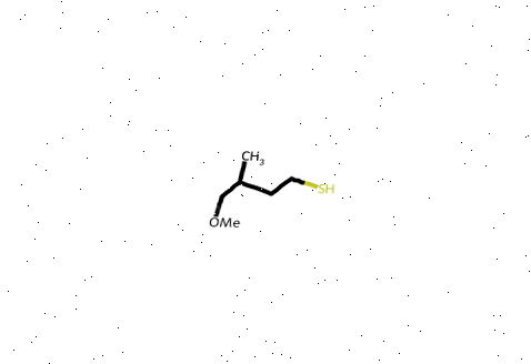 COCC(C)CCS